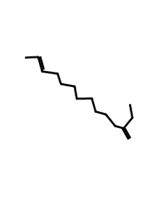 C=C(CC)CCCCCCCCC=CC